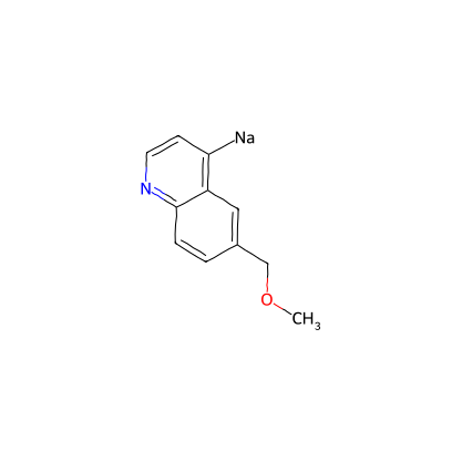 COCc1ccc2ncc[c]([Na])c2c1